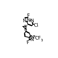 Fc1nn(CC(F)(F)F)c2cc([C@H]3C[C@@H]3c3cc(Cl)nn4c(F)cnc34)ccc12